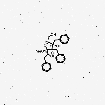 CO[C@@]1(C(O)Cc2ccccc2)O[C@H](CO)[C@](O)(Cc2ccccc2)[C@@]1(O)Cc1ccccc1